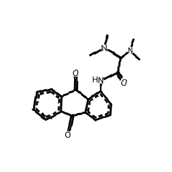 CN(C)C(C(=O)Nc1cccc2c1C(=O)c1ccccc1C2=O)N(C)C